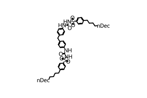 CCCCCCCCCCCCCCc1ccc(S(=O)(=O)NC(=O)Nc2ccc(Cc3ccc(NC(=O)NS(=O)(=O)c4ccc(CCCCCCCCCCCCCC)cc4)cc3)cc2)cc1